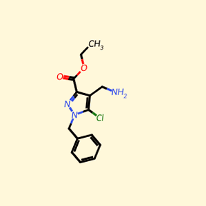 CCOC(=O)c1nn(Cc2ccccc2)c(Cl)c1CN